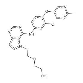 Cc1ccc(Oc2ccc(Nc3ncnc4ccn(CCOCCO)c34)cc2Cl)cn1